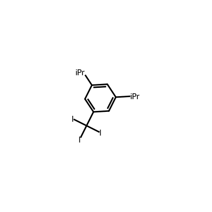 CC(C)c1cc(C(C)C)cc(C(I)(I)I)c1